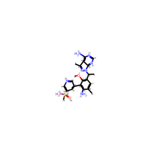 COc1c(C(C)n2nc(C)c3c(N)ncnc32)cc(C)c(N)c1-c1cncc([SH](C)(=O)P)c1